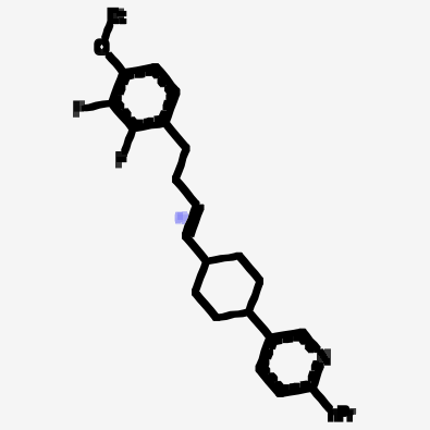 CCCc1ccc(C2CCC(/C=C/CCc3ccc(OCC)c(F)c3F)CC2)cn1